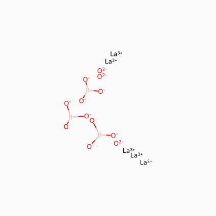 [La+3].[La+3].[La+3].[La+3].[La+3].[O-2].[O-2].[O-2].[O-]B([O-])[O-].[O-]B([O-])[O-].[O-]B([O-])[O-]